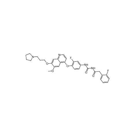 COc1cc2c(Oc3ccc(NC(=O)NC(=O)Cc4ccccc4F)cc3F)ccnc2cc1OCCCN1CCCC1